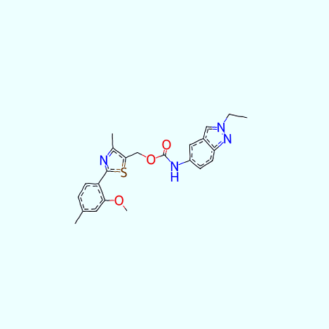 CCn1cc2cc(NC(=O)OCc3sc(-c4ccc(C)cc4OC)nc3C)ccc2n1